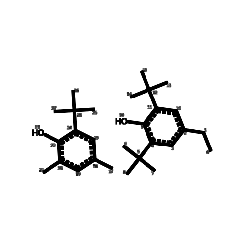 CCc1cc(C(C)(C)C)c(O)c(C(C)(C)C)c1.Cc1cc(C)c(O)c(C(C)(C)C)c1